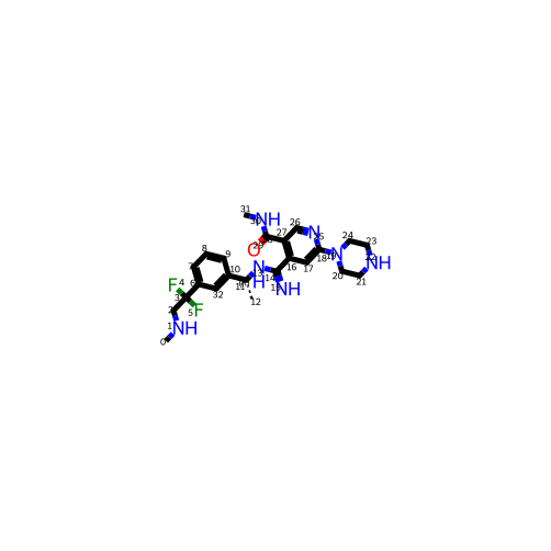 CNCC(F)(F)c1cccc([C@@H](C)NC(=N)c2cc(N3CCNCC3)ncc2C(=O)NC)c1